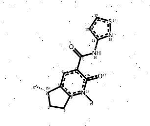 C[C@H]1CCc2c1cc(C(=O)Nc1ccsn1)c(=O)n2C